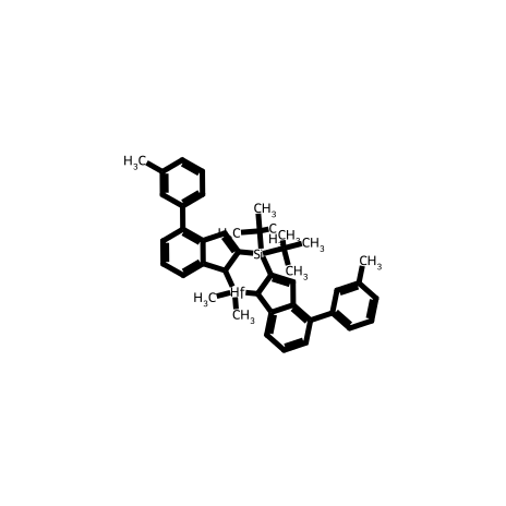 Cc1cccc(-c2cccc3c2C=C2[CH]3[Hf]([CH3])([CH3])[CH]3C(=Cc4c(-c5cccc(C)c5)cccc43)[Si]2(C(C)(C)C)C(C)(C)C)c1